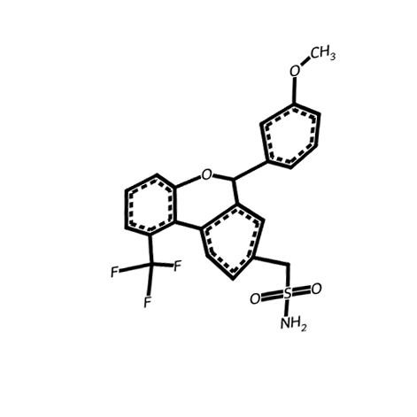 COc1cccc(C2Oc3cccc(C(F)(F)F)c3-c3ccc(CS(N)(=O)=O)cc32)c1